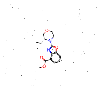 CC[C@@H]1COCCN1c1nc2c(C(=O)OC)cccc2o1